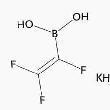 OB(O)C(F)=C(F)F.[KH]